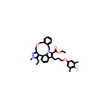 CCOC(=O)c1c(CCCOc2cc(C)c(Cl)c(C)c2)c2ccc(F)c3c2n1Cc1ccccc1COCc1nn(C)c(CC)c1-3